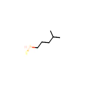 CC(C)CCC[PH2]=S